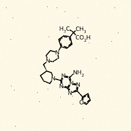 CC(C)(C(=O)O)c1ccc(N2CCN(C[C@@H]3CCCN(c4nc(N)n5nc(-c6ccco6)nc5n4)C3)CC2)cc1